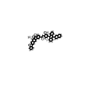 C/C(=C\c1ccc(-c2c3ccccc3c(-c3ccc4ccccc4c3)c3ccccc23)cc1C)c1ccc2c(c1)-c1cc3cc4c(cc3cc1C2(C)C)oc1ccccc14